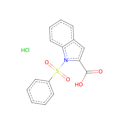 Cl.O=C(O)c1cc2ccccc2n1S(=O)(=O)c1ccccc1